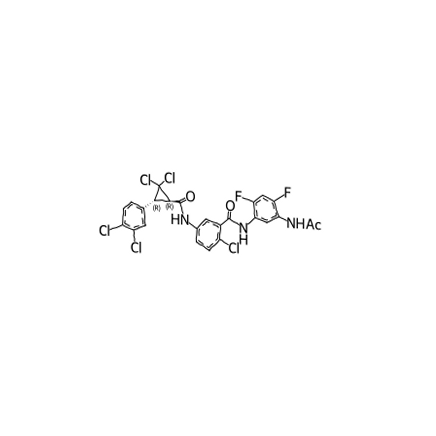 CC(=O)Nc1cc(NC(=O)c2cc(NC(=O)[C@H]3[C@H](c4ccc(Cl)c(Cl)c4)C3(Cl)Cl)ccc2Cl)c(F)cc1F